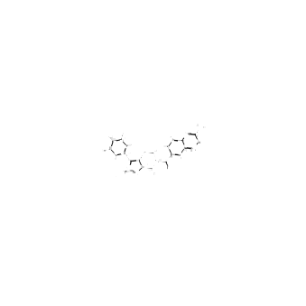 [2H]c1cnc2cc(C(=O)N3CCc4c(nn(C)c4-c4cc(F)c(F)c(F)c4)[C@@H]3C)ccc2n1